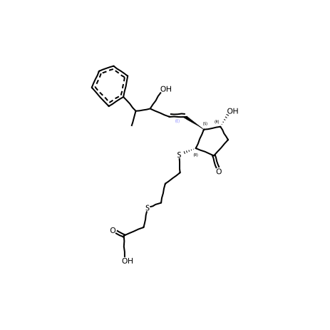 CC(c1ccccc1)C(O)/C=C/[C@H]1[C@H](O)CC(=O)[C@@H]1SCCCSCC(=O)O